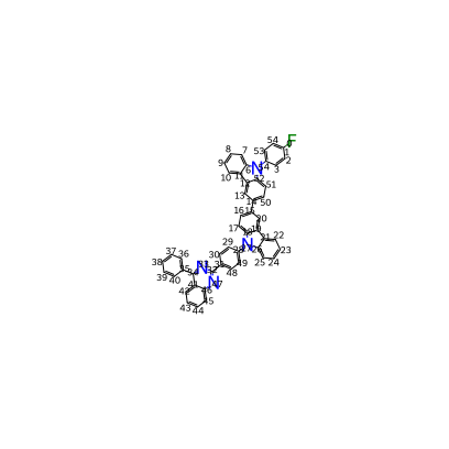 Fc1ccc(-n2c3ccccc3c3cc(-c4ccc5c(c4)c4ccccc4n5-c4ccc(-c5nc(-c6ccccc6)c6ccccc6n5)cc4)ccc32)cc1